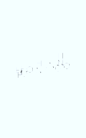 O=C(CN1CC2C(CNCc3cccc(OC(F)(F)F)c3)C2C1)Nc1ccccc1